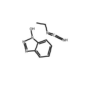 CCN=C=N.On1nnc2ccccc21